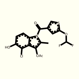 CC(=O)Oc1c(C)n(C(=O)c2csc(OC(F)F)c2)c2ccc(O)c(Cl)c12